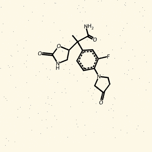 CC(C(N)=O)(c1ccc(N2CCC(=O)C2)c(F)c1)C1CNC(=O)O1